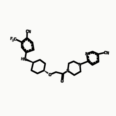 N#Cc1ccc(N2CCN(C(=O)CO[C@H]3CC[C@H](Nc4ccc(C#N)c(C(F)(F)F)c4)CC3)CC2)nc1